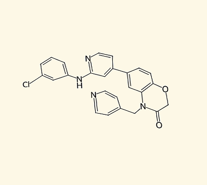 O=C1COc2ccc(-c3ccnc(Nc4cccc(Cl)c4)c3)cc2N1Cc1ccncc1